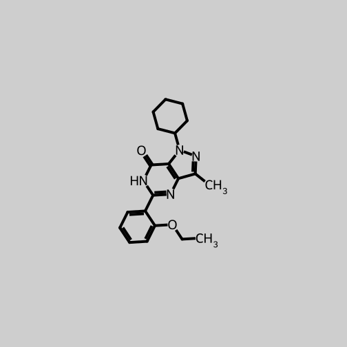 CCOc1ccccc1-c1nc2c(C)nn(C3CCCCC3)c2c(=O)[nH]1